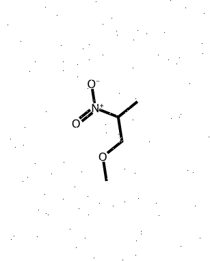 COCC(C)[N+](=O)[O-]